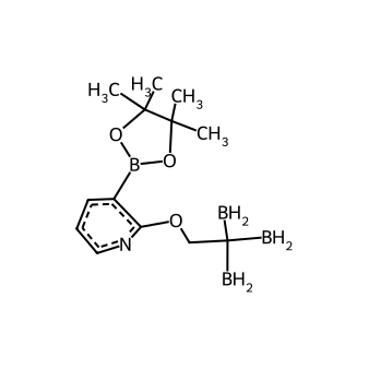 BC(B)(B)COc1ncccc1B1OC(C)(C)C(C)(C)O1